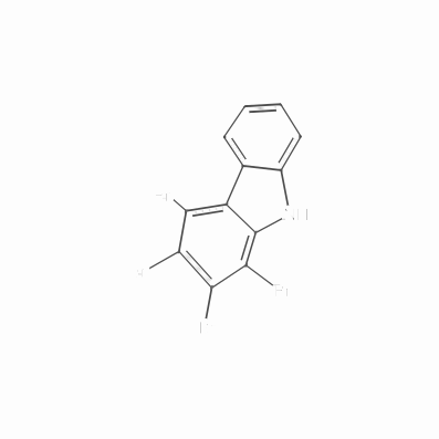 Brc1c(Br)c(Br)c2c([nH]c3ccccc32)c1Br